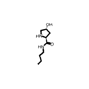 CCCCNC(=O)[C@@H]1C[C@@H](O)CN1